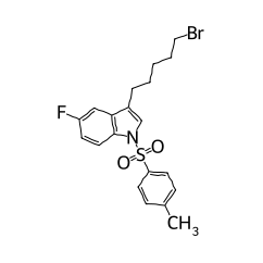 Cc1ccc(S(=O)(=O)n2cc(CCCCCBr)c3cc(F)ccc32)cc1